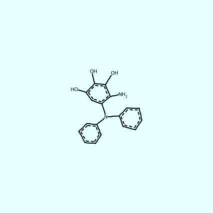 Nc1c(N(c2ccccc2)c2ccccc2)cc(O)c(O)c1O